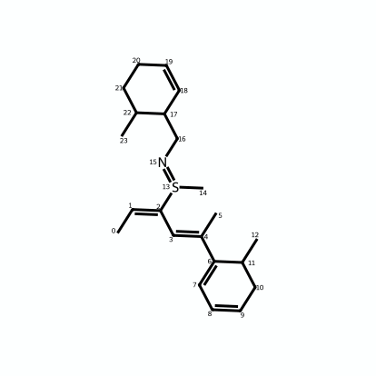 C/C=C(\C=C(/C)C1=CC=CCC1C)S(/C)=N/CC1C=CCCC1C